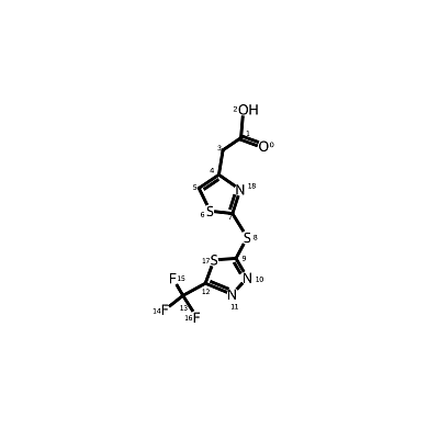 O=C(O)Cc1csc(Sc2nnc(C(F)(F)F)s2)n1